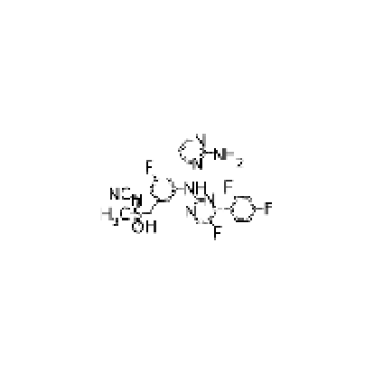 C[SH](O)(Cc1cc(F)cc(Nc2ncc(F)c(-c3ccc(F)cc3F)n2)c1)=NC#N.Nc1ncccn1